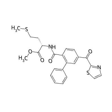 COC(=O)[C@H](CCSC)NC(=O)c1ccc(C(=O)c2nccs2)cc1-c1ccccc1